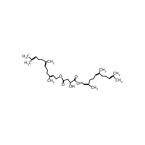 CC(C)=CCCC(C)=CCCC(C)=CCOC(=O)CC(O)C(=O)OCC=C(C)CCC=C(C)CCC=C(C)C